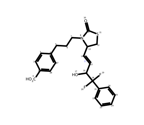 O=C(O)c1ccc(CCCN2C(=O)SCC2/C=C/C(O)C(F)(F)c2ccccc2)cc1